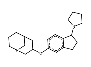 c1cc2c(cc1OC1CC3CCCN(C3)C1)CCC2N1CCCC1